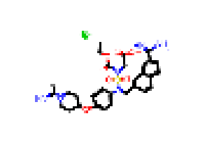 CCOC(=O)N(CC(=O)O)S(=O)(=O)N(Cc1ccc2ccc(C(=N)N)cc2c1)c1ccc(OC2CCN(C(C)=N)CC2)cc1.Cl.Cl